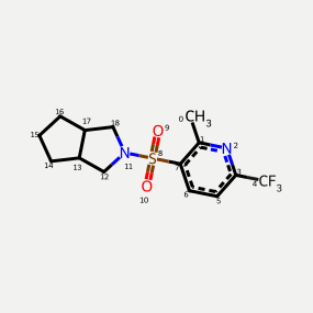 Cc1nc(C(F)(F)F)ccc1S(=O)(=O)N1CC2CCCC2C1